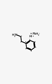 I.NCCc1ccccc1.[PbH2]